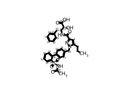 CCCc1cc(C(=O)N[C@H](Cc2ccccc2)[C@@H](O)C(=O)O)nn1Cc1ccc(-c2ccccc2S(=O)(=O)NC(C)=O)cc1